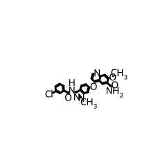 COc1cc2nccc(Oc3ccc4c(NC(=O)c5cccc(Cl)c5)nn(C)c4c3)c2cc1C(N)=O